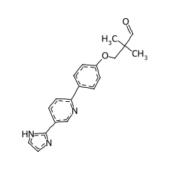 CC(C)(C=O)COc1ccc(-c2ccc(-c3ncc[nH]3)cn2)cc1